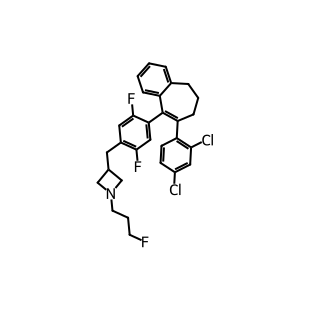 FCCCN1CC(Cc2cc(F)c(C3=C(c4ccc(Cl)cc4Cl)CCCc4ccccc43)cc2F)C1